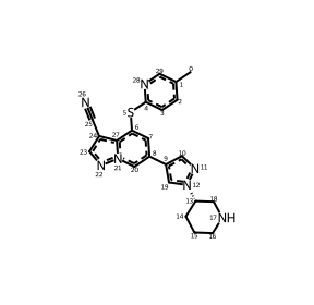 Cc1ccc(Sc2cc(-c3cnn([C@H]4CCCNC4)c3)cn3ncc(C#N)c23)nc1